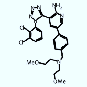 COCCN(CCOC)Cc1ccc(-c2cnc(N)c(-c3nnnn3-c3cccc(Cl)c3Cl)c2)cc1